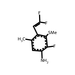 CSc1c(F)c(N)cc(C)c1C=C(F)F